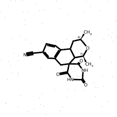 C[C@@H]1CC2c3ccc(C#N)cc3CC3(C(=O)NC(=O)NC3=O)C2[C@H](C)O1